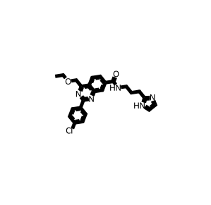 CCOCc1nc(-c2ccc(Cl)cc2)nc2cc(C(=O)NCCCc3ncc[nH]3)ccc12